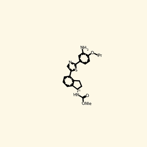 COC(=O)N[C@H]1CCc2c(-c3cnc(-c4ccc(OC(C)C)c(N)c4)s3)cccc21